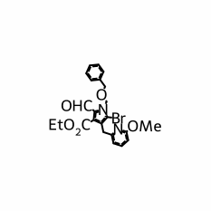 CCOC(=O)c1c(Cc2cccc(OC)n2)c(Br)n(COCc2ccccc2)c1C=O